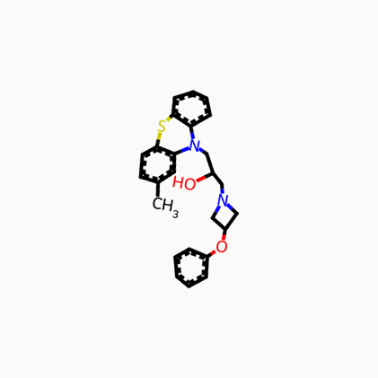 Cc1ccc2c(c1)N(CC(O)CN1CC(Oc3ccccc3)C1)c1ccccc1S2